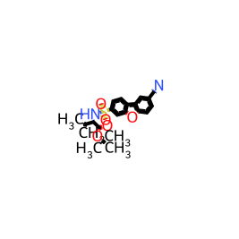 CC(C)[C@H](NS(=O)(=O)c1ccc2c(c1)oc1ccc(C#N)cc12)C(=O)OC(C)(C)C